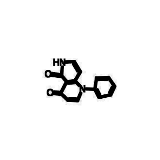 O=c1ccn(-c2ccccc2)c2cc[nH]c(=O)c12